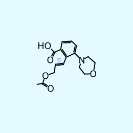 CC(=O)OC/C=C/c1c(C(=O)O)cccc1N1CCOCC1